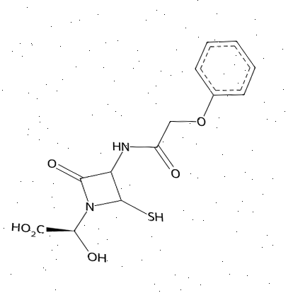 O=C(COc1ccccc1)NC1C(=O)N([C@@H](O)C(=O)O)C1S